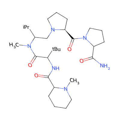 CC(C)C(CN1CCC[C@H]1C(=O)N1CCCC1C(N)=O)N(C)C(=O)C(NC(=O)C1CCCCN1C)C(C)(C)C